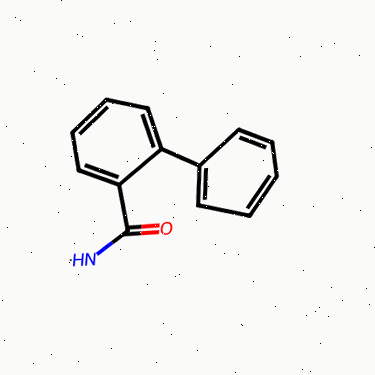 [NH]C(=O)c1ccccc1-c1ccccc1